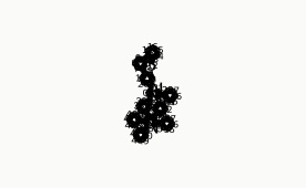 C1=C(c2ccc(-c3cccc4c3sc3ccccc34)cc2)N=C(c2ccccc2)NC1c1cccc(-c2c(-c3ccccc3)c(-c3ccccc3)nc(-c3ccccc3)c2-c2ccccc2)c1